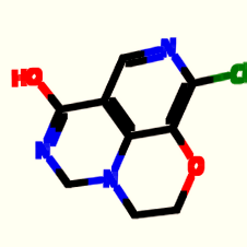 OC1=NCN2CCOc3c(Cl)ncc1c32